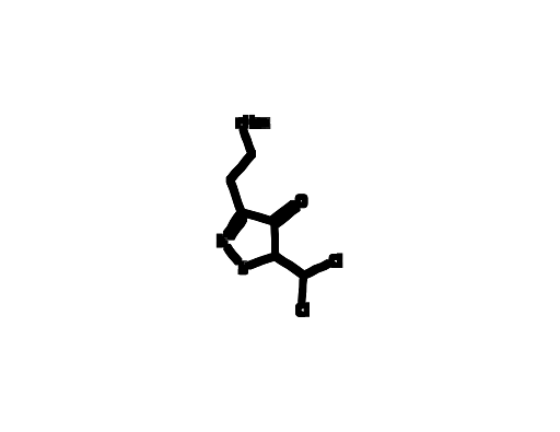 CCCCCCCCC1=NSC(C(Cl)Cl)C1=O